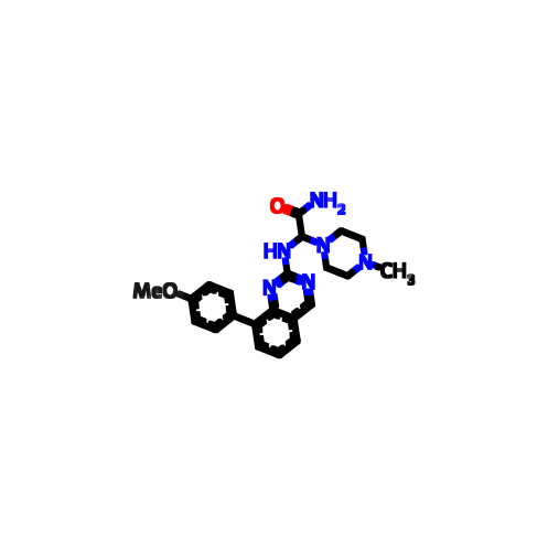 COc1ccc(-c2cccc3cnc(NC(C(N)=O)N4CCN(C)CC4)nc23)cc1